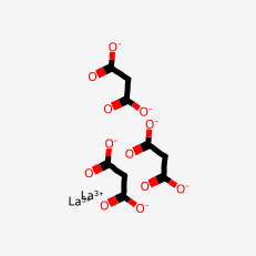 O=C([O-])CC(=O)[O-].O=C([O-])CC(=O)[O-].O=C([O-])CC(=O)[O-].[La+3].[La+3]